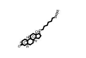 C[C@]12CCC(=O)C[C@@H]1CC[C@@H]1[C@@H]2CC[C@]2(C)[C@@H](OCCCCCCN=[N+]=[N-])CC[C@@]12C